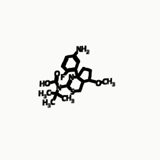 COC1CCC2(c3cc(N)ccc3F)N=C(N(C(=O)O)C(C)(C)C)SCC12